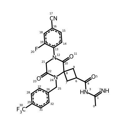 CC(=N)NC(=O)C1CC2(C1)C(=O)N(c1ccc(C#N)cc1F)CC(=O)N2Cc1ccc(C(F)(F)F)cc1